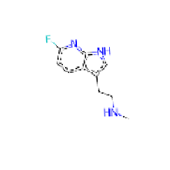 CNCCc1c[nH]c2nc(F)ccc12